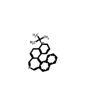 CC(C)(C)[C@H]1CC=CC2=C1CC=C1C=PC=c3ccc4ccccc4c3=C12